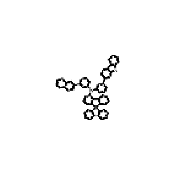 c1ccc(C2(c3ccccc3)c3ccccc3-c3c(N(c4cccc(-c5ccc6ccccc6c5)c4)c4cccc(-c5ccc6c(c5)sc5ccccc56)c4)cccc32)cc1